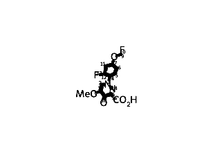 COc1cn(-c2ccc(OCF)cc2F)nc(C(=O)O)c1=O